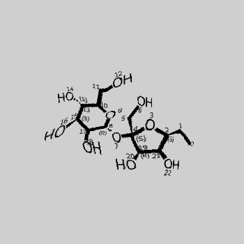 CC[C@@H]1O[C@@](CO)(O[C@H]2OC(CO)[C@@H](O)[C@H](O)C2O)[C@H](O)C1O